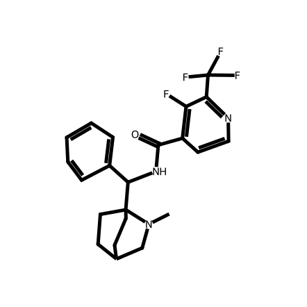 CN1CC2CCC1(C(NC(=O)c1ccnc(C(F)(F)F)c1F)c1ccccc1)CC2